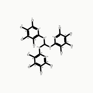 Clc1nc(OC(Oc2nc(Cl)c(Cl)c(Cl)c2Cl)Sc2nc(Cl)c(Cl)c(Cl)c2Cl)c(Cl)c(Cl)c1Cl